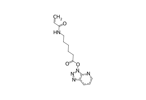 C=CC(=O)NCCCCCC(=O)On1nnc2cccnc21